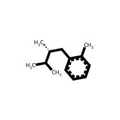 Cc1ccccc1C[C@@H](C)C(C)C